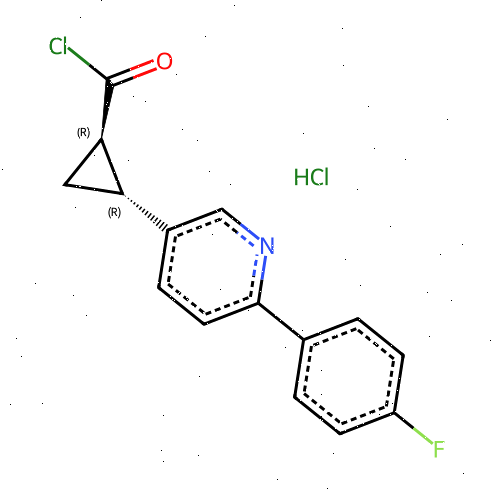 Cl.O=C(Cl)[C@@H]1C[C@H]1c1ccc(-c2ccc(F)cc2)nc1